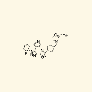 OC[C@@H]1CN(Cc2ccc(-c3noc(-c4nnn(-c5ccccc5F)c4-c4ccncc4)n3)cc2)CCO1